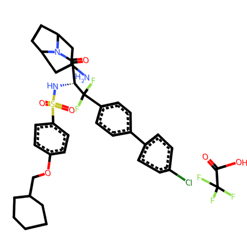 NC1CC2CCC(C1)N2C(=O)[C@@H](NS(=O)(=O)c1ccc(OCC2CCCCC2)cc1)C(F)(F)c1ccc(-c2ccc(Cl)cc2)cc1.O=C(O)C(F)(F)F